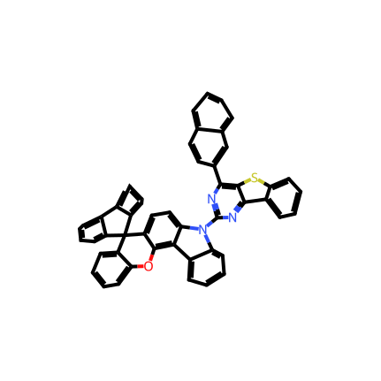 c1ccc2c(c1)Oc1c(ccc3c1c1ccccc1n3-c1nc(-c3ccc4ccccc4c3)c3sc4ccccc4c3n1)C21c2ccccc2-c2ccccc21